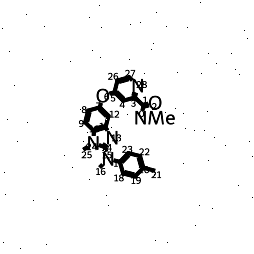 CNC(=O)c1cc(Oc2ccc3c(c2)nc(N(C)c2ccc(C)cc2)n3C)ccn1